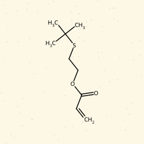 C=CC(=O)OCCSC(C)(C)C